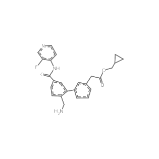 NCc1ccc(C(=O)Nc2ccncc2F)cc1-c1cccc(CC(=O)OCC2CC2)c1